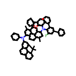 Cc1cc(N(c2ccccc2)c2cc3c4c(ccc5cccc(c54)C3(C)C)c2)c2ccc3c(C)cc(N(c4c(F)cc(-c5ccccc5)cc4-c4ccccc4)c4cccc5c4oc4ccccc45)c4ccc1c2c34